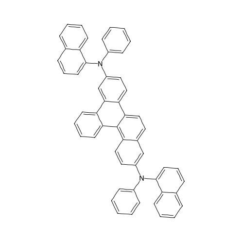 c1ccc(N(c2ccc3c(ccc4c5ccc(N(c6ccccc6)c6cccc7ccccc67)cc5c5ccccc5c34)c2)c2cccc3ccccc23)cc1